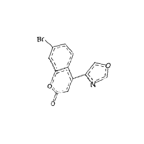 O=c1cc(-c2cocn2)c2ccc(Br)cc2o1